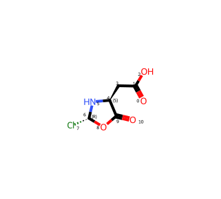 O=C(O)C[C@@H]1N[C@@H](Cl)OC1=O